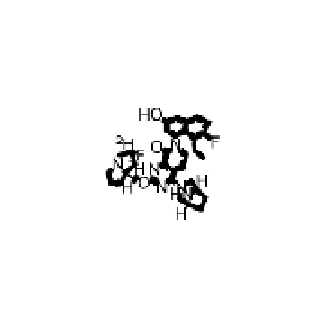 [2H]C([2H])(Oc1nc(N2C[C@H]3CC[C@@H](C2)N3)c2ccn(-c3cc(O)cc4ccc(F)c(CC)c34)c(=O)c2n1)[C@@]12CCCN1C[C@]([2H])(F)C2